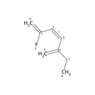 C=C(F)/C=C\C(=C)CC